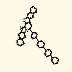 c1ccc(-c2ccc(-c3ccc(-c4ccc(-c5cc6c7cc8ccccc8cc7sc6c6nc7cc8ccccc8cc7n56)cc4)cc3)cc2)cc1